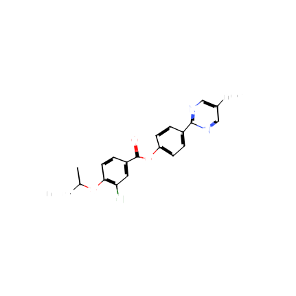 CCCCCCCCc1cnc(-c2ccc(OC(=O)c3ccc(OC(C)CCCCCC)c(Cl)c3)cc2)nc1